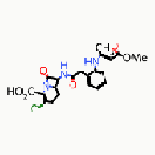 COC(=O)C=C(C)Nc1ccccc1CC(=O)NC1C(=O)N2C(C(=O)O)=C(Cl)CCC12